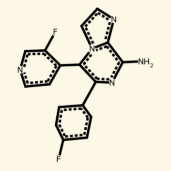 Nc1nc(-c2ccc(F)cc2)c(-c2ccncc2F)n2ccnc12